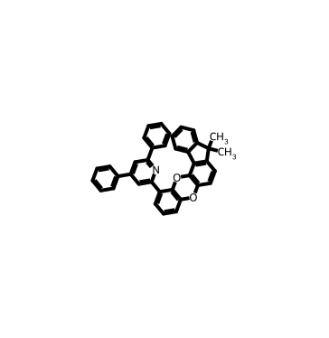 CC1(C)c2ccccc2-c2c1ccc1c2Oc2c(cccc2-c2cc(-c3ccccc3)cc(-c3ccccc3)n2)O1